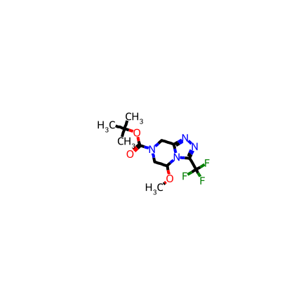 COC1CN(C(=O)OC(C)(C)C)Cc2nnc(C(F)(F)F)n21